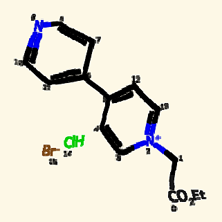 CCOC(=O)C[n+]1ccc(-c2ccncc2)cc1.Cl.[Br-]